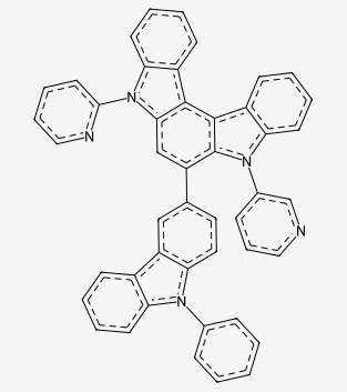 c1ccc(-n2c3ccccc3c3cc(-c4cc5c(c6ccccc6n5-c5ccccn5)c5c6ccccc6n(-c6cccnc6)c45)ccc32)cc1